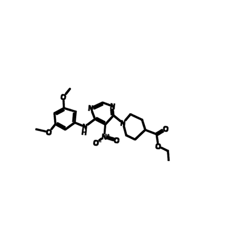 CCOC(=O)C1CCN(c2ncnc(Nc3cc(OC)cc(OC)c3)c2[N+](=O)[O-])CC1